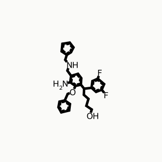 Nc1c(CNCc2ccccc2)ccc(C(CCCCO)c2cc(F)cc(F)c2)c1OCc1ccccc1